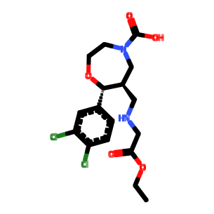 CCOC(=O)CNC[C@@H]1CN(C(=O)O)CCO[C@H]1c1ccc(Cl)c(Cl)c1